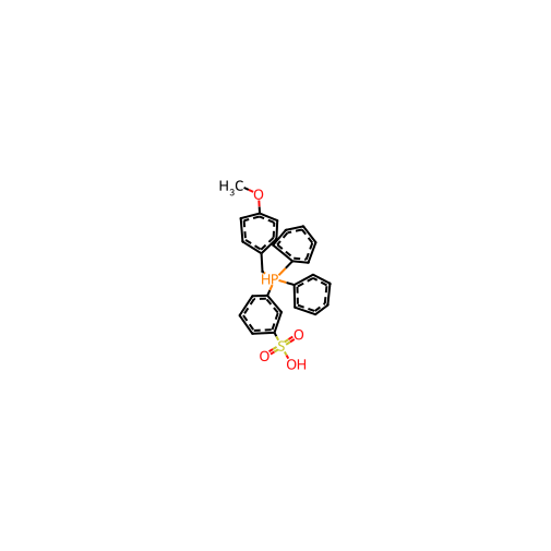 COc1ccc(C[PH](c2ccccc2)(c2ccccc2)c2cccc(S(=O)(=O)O)c2)cc1